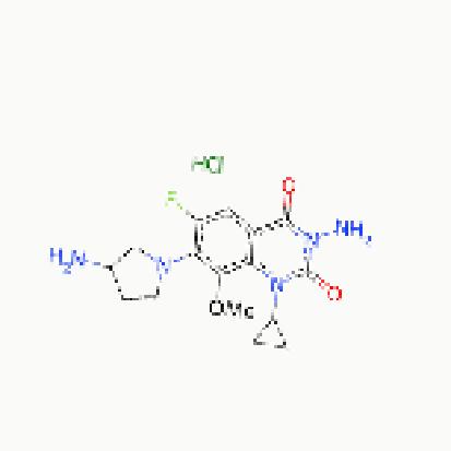 COc1c(N2CCC(N)C2)c(F)cc2c(=O)n(N)c(=O)n(C3CC3)c12.Cl